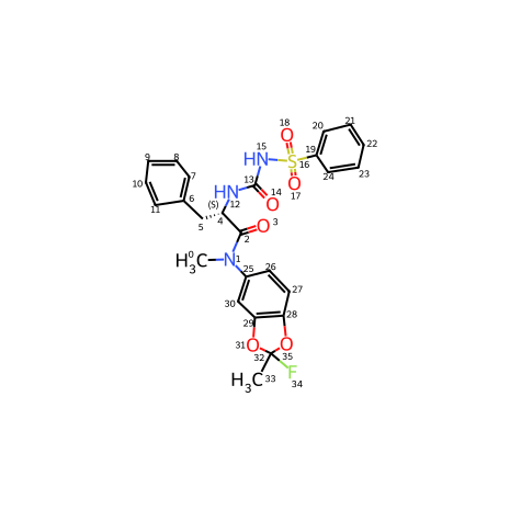 CN(C(=O)[C@H](Cc1ccccc1)NC(=O)NS(=O)(=O)c1ccccc1)c1ccc2c(c1)OC(C)(F)O2